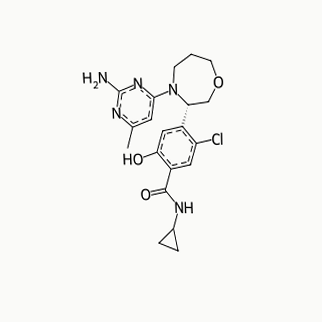 Cc1cc(N2CCCOC[C@@H]2c2cc(O)c(C(=O)NC3CC3)cc2Cl)nc(N)n1